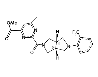 COC(=O)c1cc(C)nc(C(=O)N2C[C@@H]3CN(c4ccccc4C(F)(F)F)C[C@@H]3C2)n1